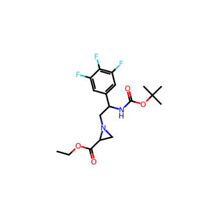 CCOC(=O)C1CN1CC(NC(=O)OC(C)(C)C)c1cc(F)c(F)c(F)c1